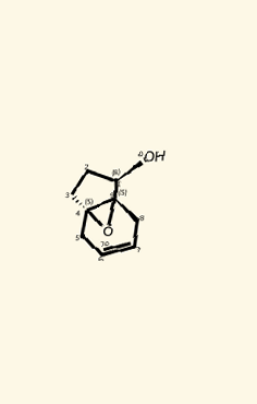 O[C@@H]1CC[C@]23CC=CC[C@]12O3